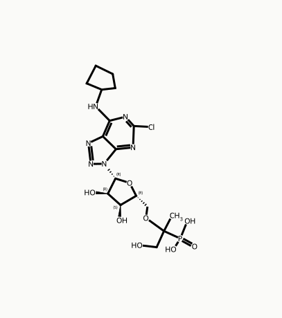 CC(CO)(OC[C@H]1O[C@@H](n2nnc3c(NC4CCCC4)nc(Cl)nc32)[C@H](O)[C@@H]1O)P(=O)(O)O